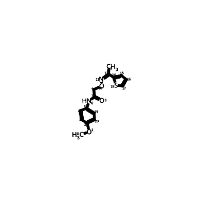 COc1ccc(NC(=O)CON=C(C)c2cccs2)cc1